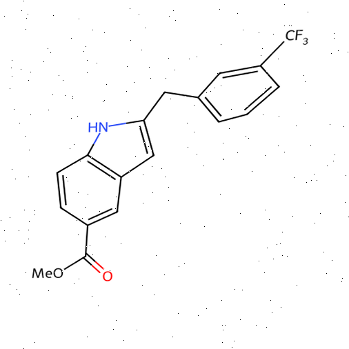 COC(=O)c1ccc2[nH]c(Cc3cccc(C(F)(F)F)c3)cc2c1